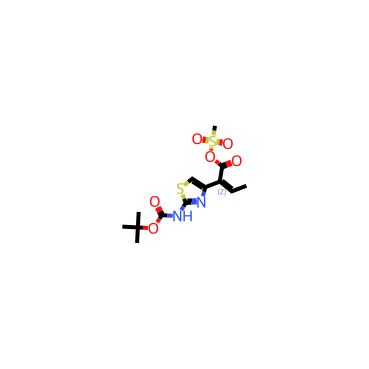 C/C=C(\C(=O)OS(C)(=O)=O)c1csc(NC(=O)OC(C)(C)C)n1